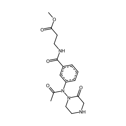 COC(=O)CCNC(=O)c1cccc(N(C(C)=O)N2CCNCC2=O)c1